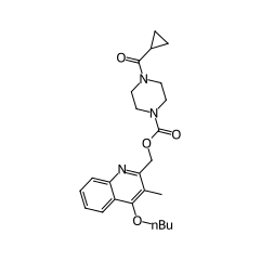 CCCCOc1c(C)c(COC(=O)N2CCN(C(=O)C3CC3)CC2)nc2ccccc12